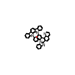 c1ccc(-n2c3ccccc3c3ccc4c5ccccc5n(-c5ccc6c(c5)c5c(ccc7cccnc75)c5nc7ccccc7n65)c4c32)cc1